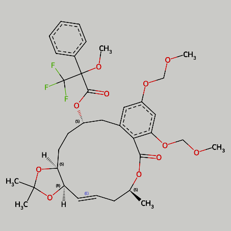 COCOc1cc2c(c(OCOC)c1)C(=O)O[C@@H](C)C/C=C/[C@H]1OC(C)(C)O[C@H]1CC[C@H](OC(=O)C(OC)(c1ccccc1)C(F)(F)F)C2